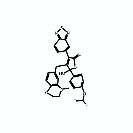 CN1CCOc2ccc(CC3=C(c4ccc5nsnc5c4)C(=O)OC3(O)c3ccc(OC(F)F)cc3)cc21